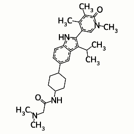 Cc1c(-c2[nH]c3ccc(C4CCC(NC(=O)CN(C)C)CC4)cc3c2C(C)C)cn(C)c(=O)c1C